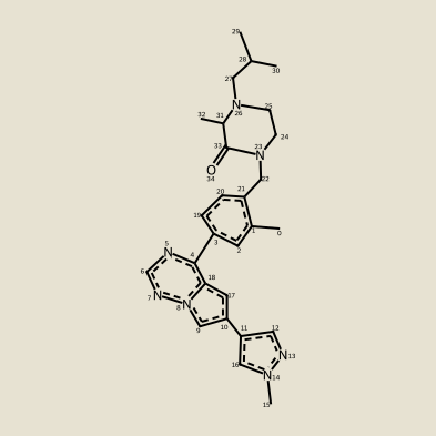 Cc1cc(-c2ncnn3cc(-c4cnn(C)c4)cc23)ccc1CN1CCN(CC(C)C)C(C)C1=O